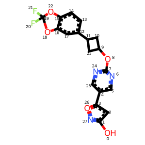 Oc1cc(-c2cnc(OC3CC(c4ccc5c(c4)OC(F)(F)O5)C3)nc2)on1